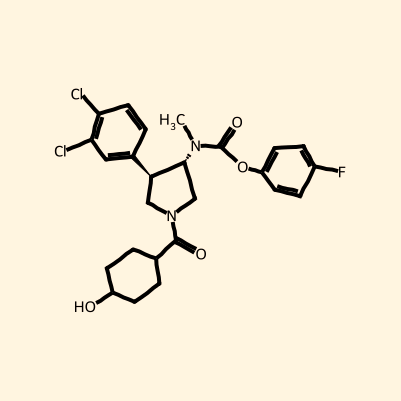 CN(C(=O)Oc1ccc(F)cc1)[C@@H]1CN(C(=O)C2CCC(O)CC2)C[C@H]1c1ccc(Cl)c(Cl)c1